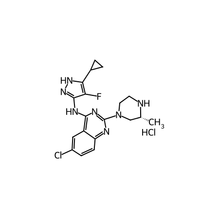 C[C@@H]1CN(c2nc(Nc3n[nH]c(C4CC4)c3F)c3cc(Cl)ccc3n2)CCN1.Cl